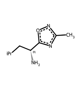 Cc1noc([C@H](N)CC(C)C)n1